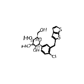 OC[C@H]1O[C@@H](c2ccc(Cl)c(Cc3cc4ccsc4s3)c2)[C@H](O)[C@@H](O)[C@@H]1O